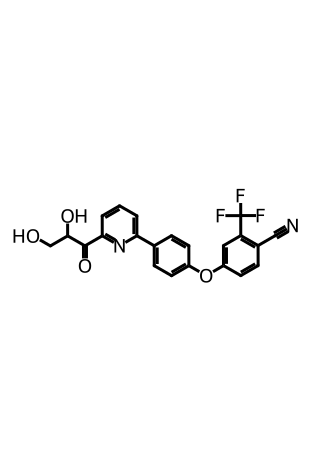 N#Cc1ccc(Oc2ccc(-c3cccc(C(=O)C(O)CO)n3)cc2)cc1C(F)(F)F